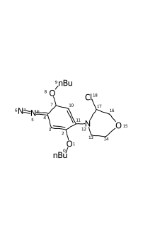 CCCCOC1=CC(=[N+]=[N-])C(OCCCC)C=C1N1CCOCC1Cl